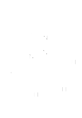 CCC(C)[C@H](C)C(C)n1nnc2ccccc21